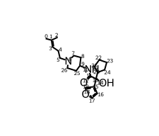 CC(C)=CCCN1CCC(NC(=O)C(O)(c2ccoc2)C2CCCC2)CC1